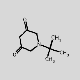 CC(C)(C)N1CC(=O)CC(=O)C1